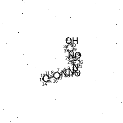 O=C(N1CCN(c2ccc(-c3ccccc3)cc2)CC1)N1CCCC2(CCN([C@H]3CC[C@H](O)CC3)C2=O)C1